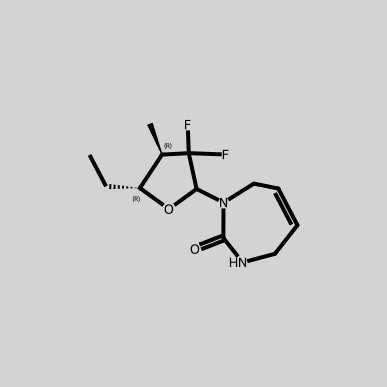 CC[C@H]1OC(N2CC=CCNC2=O)C(F)(F)[C@@H]1C